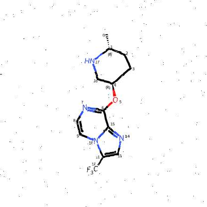 C[C@@H]1CC[C@@H](Oc2nccn3c(C(F)(F)F)cnc23)CN1